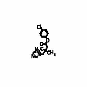 CC(C)(CC(=O)Oc1ccc(Cl)cc1)Cn1cncn1